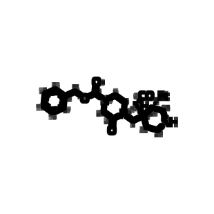 CCOC(=O)NC1(CN2CCN(C(=O)OCc3ccccc3)CC2=O)CCNCC1